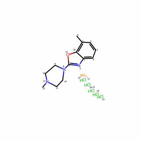 Cc1cccc2nc(N3CCN(C)CC3)oc12.Cl.Cl.Cl.Cl.Cl.P